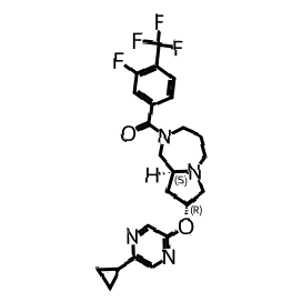 O=C(c1ccc(C(F)(F)F)c(F)c1)N1CCCN2C[C@H](Oc3cnc(C4CC4)cn3)C[C@H]2C1